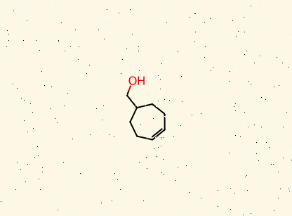 OCC1CCC=CCC1